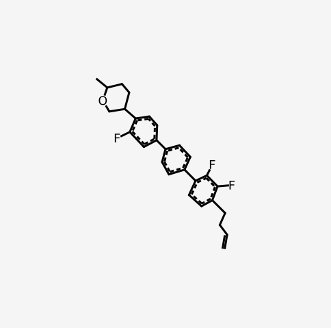 C=CCCc1ccc(-c2ccc(-c3ccc(C4CCC(C)OC4)c(F)c3)cc2)c(F)c1F